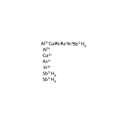 [Al+3].[Al+3].[As-3].[As-3].[As-3].[Ga+3].[Ga+3].[In+3].[In+3].[SbH6-3].[SbH6-3].[SbH6-3]